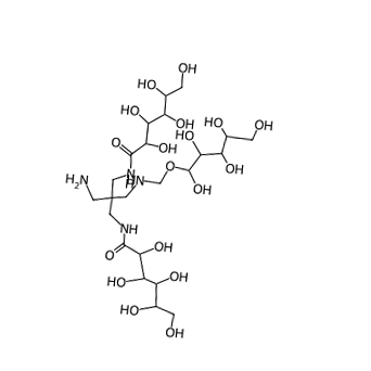 NCC(CNCOC(O)C(O)C(O)C(O)CO)(CNC(=O)C(O)C(O)C(O)C(O)CO)CNC(=O)C(O)C(O)C(O)C(O)CO